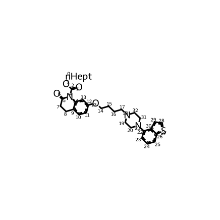 CCCCCCCOC(=O)N1C(=O)CCc2ccc(OCCCCN3CCN(c4cccc5sccc45)CC3)cc21